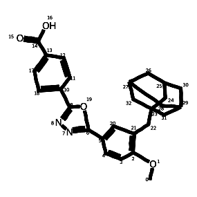 COc1ccc(-c2nnc(-c3ccc(C(=O)O)cc3)o2)cc1CC12CC3CC(CC(C3)C1)C2